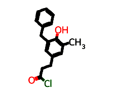 Cc1cc(CCC(=O)Cl)cc(Cc2ccccc2)c1O